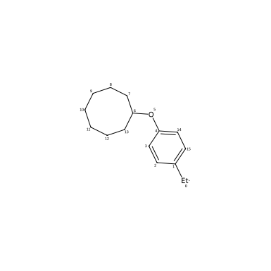 C[CH]c1ccc(OC2CCCCCCC2)cc1